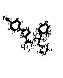 C[C@@H](N(C)C(=O)c1cnc(-c2ccc(C#N)cc2)s1)[C@](O)(Cn1cncn1)c1ccccc1F